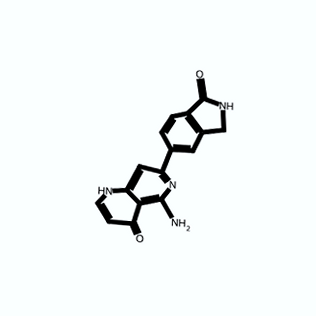 Nc1nc(-c2ccc3c(c2)CNC3=O)cc2[nH]ccc(=O)c12